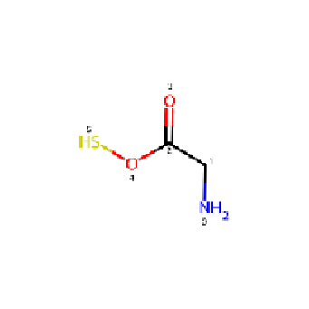 NCC(=O)OS